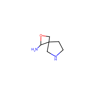 N[C]1OCC12CCNC2